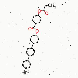 C=CC(=O)OC1CCC(C(=O)OC2CCC(c3ccc(-c4ccc(CCC)cc4)cc3)CC2)CC1